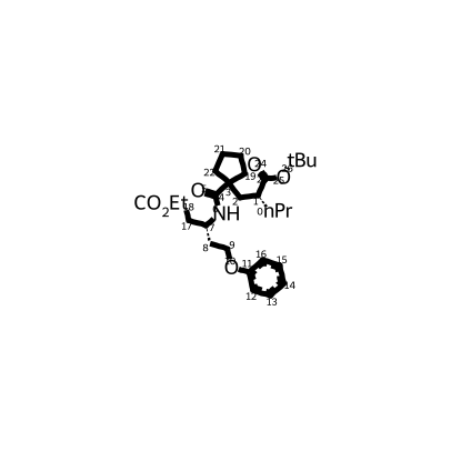 CCC[C@H](CC1(C(=O)N[C@H](CCOc2ccccc2)CC(=O)OCC)CCCC1)C(=O)OC(C)(C)C